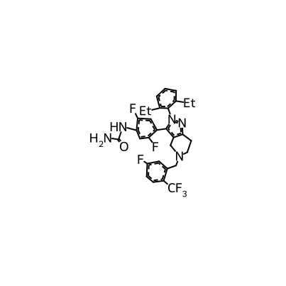 CCc1cccc(CC)c1-n1nc2c(c1-c1cc(F)c(NC(N)=O)cc1F)CN(Cc1cc(F)ccc1C(F)(F)F)CC2